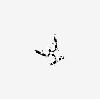 N=[N+]=N.[N-]=[N+]=NS(=O)(=O)N=[N+]=[N-]